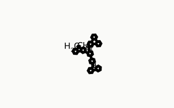 CC1(C)c2ccccc2-c2cc3c4cc(-c5ccc(-n6c7ccccc7c7ccccc76)cc5)ccc4n(-c4ccc5c6ccccc6c6ccccc6c5c4)c3cc21